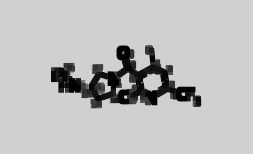 Cc1cc(C(F)(F)F)nc(Cl)c1C(=O)N1CC[C@H](NC(C)C)C1